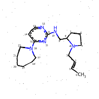 CC=CCN1CCCC1CNc1nccc(N2CCCCCC2)n1